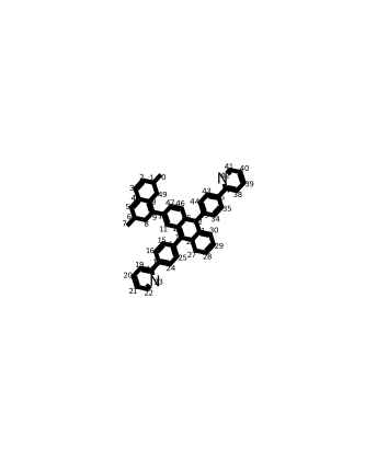 CC1C=CC2=CC(C)CC(C3=CC4=C(c5ccc(-c6ccccn6)cc5)C5CC=CC=C5C(c5ccc(-c6ccccn6)cc5)C4C=C3)=C2C1